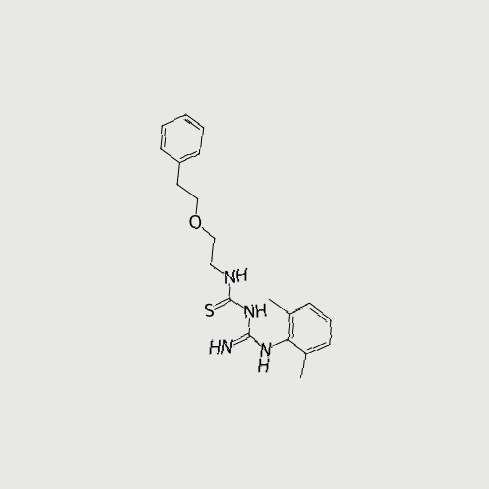 Cc1cccc(C)c1NC(=N)NC(=S)NCCOCCc1ccccc1